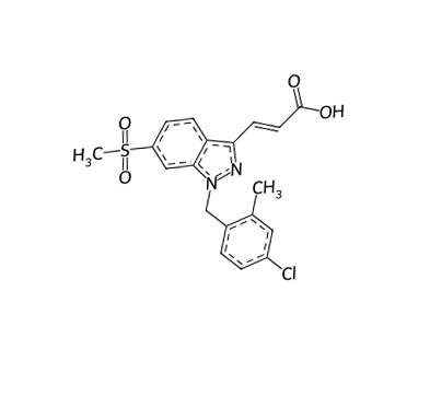 Cc1cc(Cl)ccc1Cn1nc(/C=C/C(=O)O)c2ccc(S(C)(=O)=O)cc21